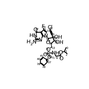 CC(C)OC(=O)[C@H](C)NP(=O)(OC[C@H]1O[C@@H](n2cc(F)c3c(=O)[nH]c(N)nc32)[C@@](O)(C#CCl)C1O)Oc1ccccc1